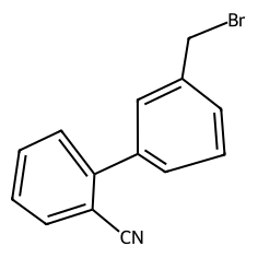 N#Cc1ccccc1-c1cccc(CBr)c1